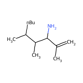 C=C(C)C(N)C(C)C(C)CCCC